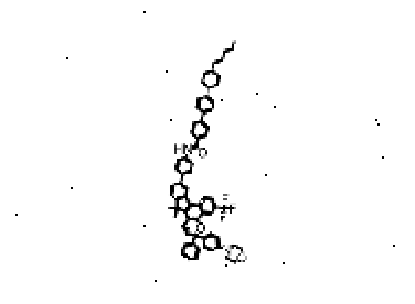 CCCCC[C@H]1CC[C@H](c2ccc(-c3ccc(C(=O)Nc4ccc(-c5ccc6c(c5)-c5c(c7c(c8cc(C(F)(F)F)ccc58)OC(c5ccccc5)(c5ccc(N8CCOCC8)cc5)C=C7)C6(C)C)cc4)cc3)cc2)CC1